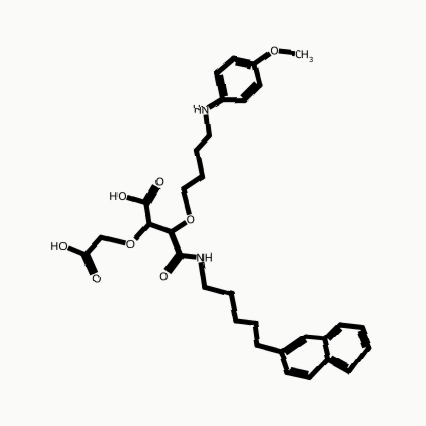 COc1ccc(NCCCCOC(C(=O)NCCCCCc2ccc3ccccc3c2)C(OCC(=O)O)C(=O)O)cc1